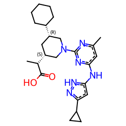 Cc1cc(Nc2cc(C3CC3)n[nH]2)nc(N2C[C@@H](C3CCCCC3)C[C@@H](C(C)C(=O)O)C2)n1